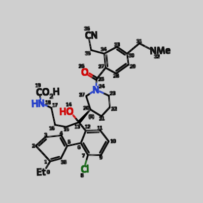 CCc1cccc(-c2c(Cl)cccc2C(O)(CCCNC(=O)O)[C@@H]2CCCN(C(=O)c3ccc(CNC)cc3CC#N)C2)c1